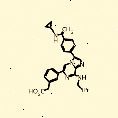 C=C(NC1CC1)c1ccc(-c2cnc3c(NCC(C)C)nc(-c4cccc(CC(=O)O)c4)cn23)cc1